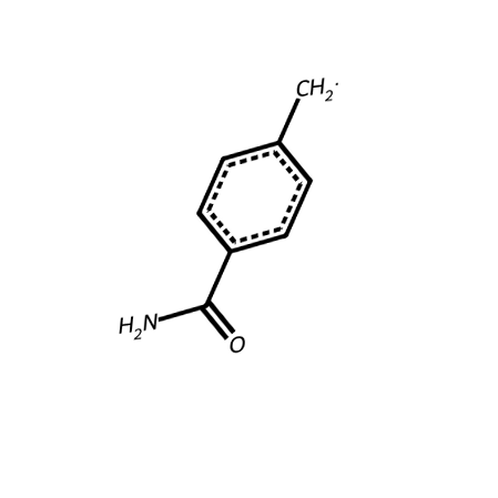 [CH2]c1ccc(C(N)=O)cc1